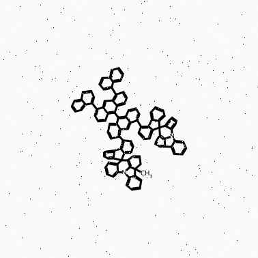 CC12CC=CC3=C1N(c1ccccc12)c1ccccc1C31c2ccccc2-c2c(-c3cccc4c(-c5c6cccc(-c7cccc8ccccc78)c6cc6c(-c7cccc8ccccc78)cccc56)c5cccc(-c6cccc7c6-c6ccccc6C76c7ccccc7-n7c8ccccc8c8cccc6c87)c5cc34)cccc21